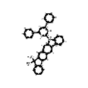 CC1(C)c2ccccc2-c2cc3cc4c5ccccc5n(-c5nc(-c6ccccc6)cc(-c6ccccc6)n5)c4cc3cc21